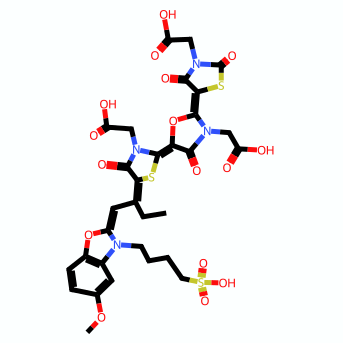 CC/C(C=C1Oc2ccc(OC)cc2N1CCCCS(=O)(=O)O)=c1\s/c(=c2/o/c(=C3/SC(=O)N(CC(=O)O)C3=O)n(CC(=O)O)c2=O)n(CC(=O)O)c1=O